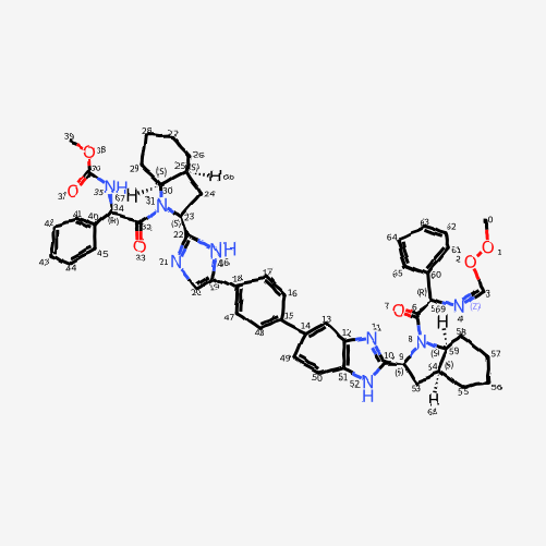 COO/C=N\[C@@H](C(=O)N1[C@H](c2nc3cc(-c4ccc(-c5cnc([C@@H]6C[C@@H]7CCCC[C@@H]7N6C(=O)[C@H](NC(=O)OC)c6ccccc6)[nH]5)cc4)ccc3[nH]2)C[C@@H]2CCCC[C@@H]21)c1ccccc1